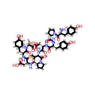 CC(C)[C@H](NC(=O)[C@H](CC(=O)O)NC(=O)[C@H](Cc1ccc(O)cc1)NC(=O)[C@@H]1CCCN1C(=O)[C@@H](N)Cc1ccc(O)cc1)C(=O)N1CCC[C@H]1C(=O)N[C@@H](CC(=O)O)C(=O)N[C@@H](Cc1ccc(O)cc1)C(=O)N[C@@H](C)C(=O)O